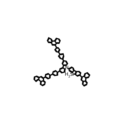 c1ccc2c(c1)cc(-c1ccc(-c3ccc(-c4ccc5c(c4)c4cc(-c6ccc(-c7ccc(-c8cc9ccccc9c9ccccc89)cc7)cc6)ccc4n5-c4ccc5c(c4)[SiH2]c4cc(-c6cc7ccccc7c7ccccc67)ccc4-5)cc3)cc1)c1ccccc12